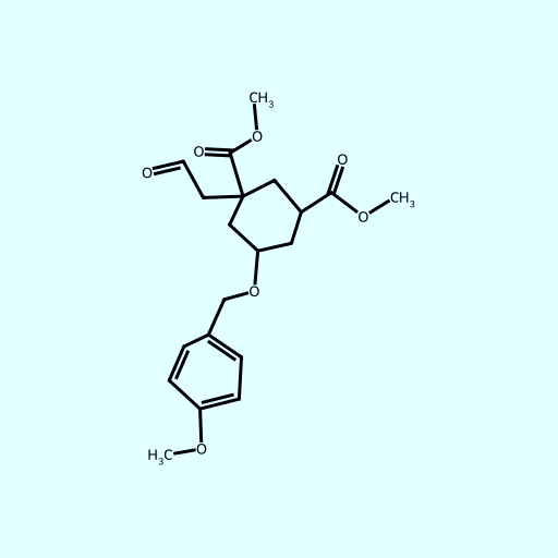 COC(=O)C1CC(OCc2ccc(OC)cc2)CC(CC=O)(C(=O)OC)C1